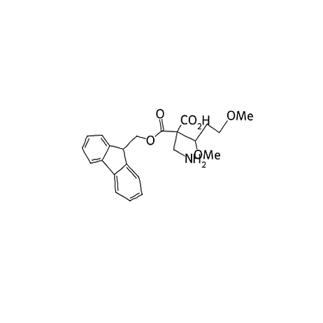 COCCC(OC)C(CN)(C(=O)O)C(=O)OCC1c2ccccc2-c2ccccc21